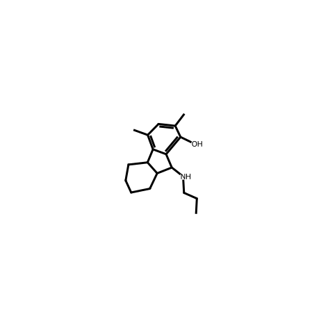 CCCNC1c2c(O)c(C)cc(C)c2C2CCCCC21